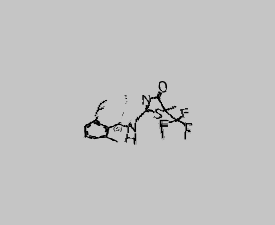 Cc1cccc(F)c1[C@H](C)NC1=NC(=O)C(C)(C(F)(F)F)S1